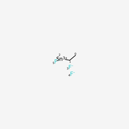 C[CH2][Sn+3].[F-].[F-].[F-]